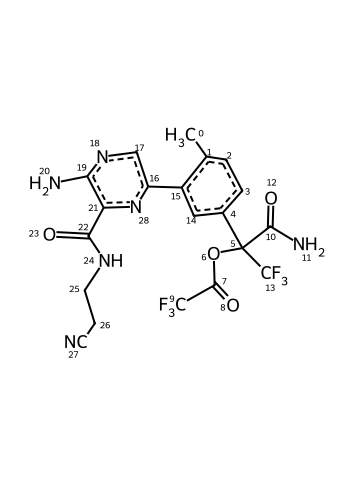 Cc1ccc(C(OC(=O)C(F)(F)F)(C(N)=O)C(F)(F)F)cc1-c1cnc(N)c(C(=O)NCCC#N)n1